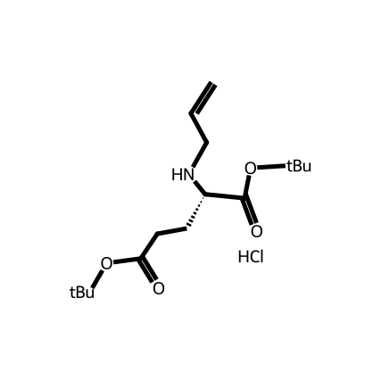 C=CCN[C@@H](CCC(=O)OC(C)(C)C)C(=O)OC(C)(C)C.Cl